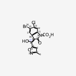 Cc1cc(/C(O)=C2\C(=O)N(C(=O)O)c3cc(Cl)c(Br)cc32)on1